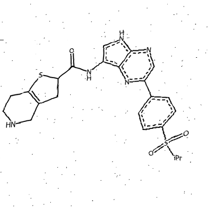 CC(C)S(=O)(=O)c1ccc(-c2cnc3[nH]cc(NC(=O)C4CC5=C(CCNC5)S4)c3n2)cc1